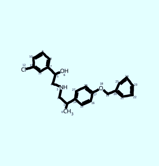 CC(CNCC(O)c1cccc(Cl)c1)c1ccc(OCc2ccccc2)cc1